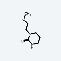 COCCN1CCCNC1=O